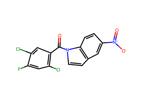 O=C(c1cc(Cl)c(F)cc1Cl)n1ccc2cc([N+](=O)[O-])ccc21